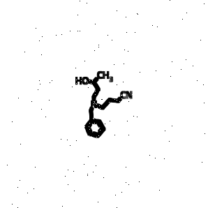 CC(O)CCN(CCCC#N)Cc1ccccc1